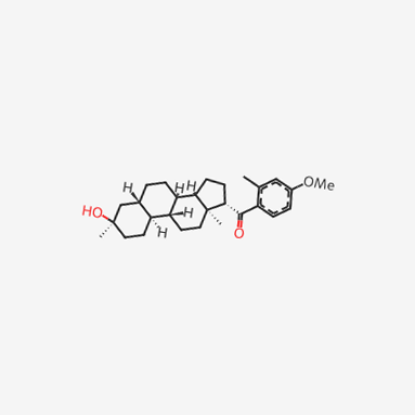 COc1ccc(C(=O)[C@H]2CC[C@H]3[C@@H]4CC[C@H]5C[C@](C)(O)CC[C@@H]5[C@H]4CC[C@]23C)c(C)c1